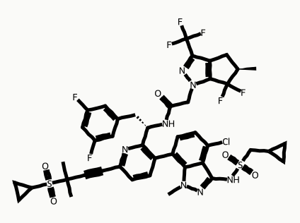 C[C@@H]1Cc2c(C(F)(F)F)nn(CC(=O)N[C@@H](Cc3cc(F)cc(F)c3)c3nc(C#CC(C)(C)S(=O)(=O)C4CC4)ccc3-c3ccc(Cl)c4c(NS(=O)(=O)CC5CC5)nn(C)c34)c2C1(F)F